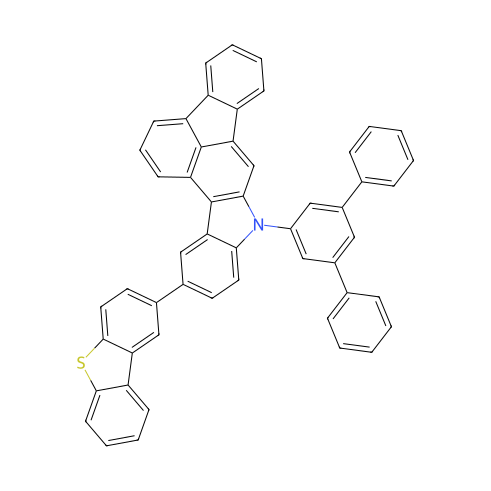 c1ccc(-c2cc(-c3ccccc3)cc(-n3c4ccc(-c5ccc6sc7ccccc7c6c5)cc4c4c5cccc6c5c(cc43)-c3ccccc3-6)c2)cc1